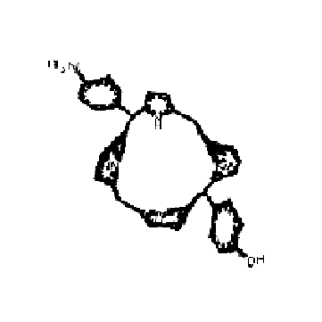 Nc1ccc(C2c3ccc([nH]3)Cc3ccc([nH]3)C(c3ccc(O)cc3)c3ccc([nH]3)Cc3ccc2[nH]3)cc1